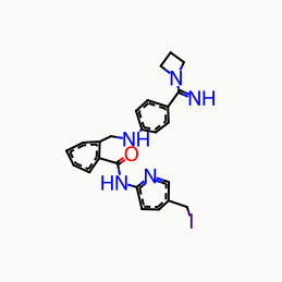 N=C(c1ccc(NCc2ccccc2C(=O)Nc2ccc(CI)cn2)cc1)N1CCC1